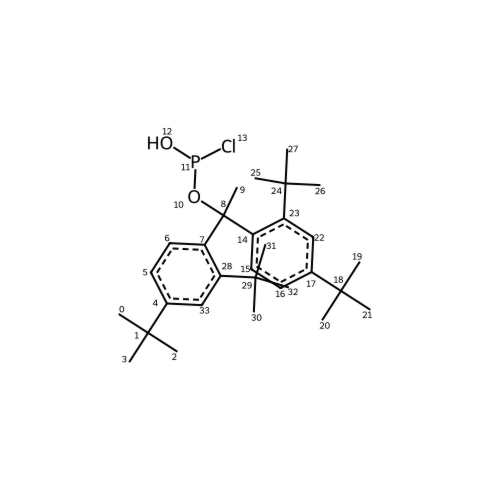 CC(C)(C)c1ccc(C(C)(OP(O)Cl)c2ccc(C(C)(C)C)cc2C(C)(C)C)c(C(C)(C)C)c1